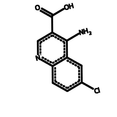 Nc1c(C(=O)O)cnc2ccc(Cl)cc12